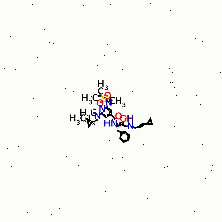 CC(C)S(=O)(=O)N(C)c1cc(C(=O)N[C@@H](Cc2ccccc2)[C@H](O)CNCC#CC2CC2)cc(N(C)C[C@H]2C[C@@H]2C)n1